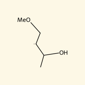 COC[CH]C(C)O